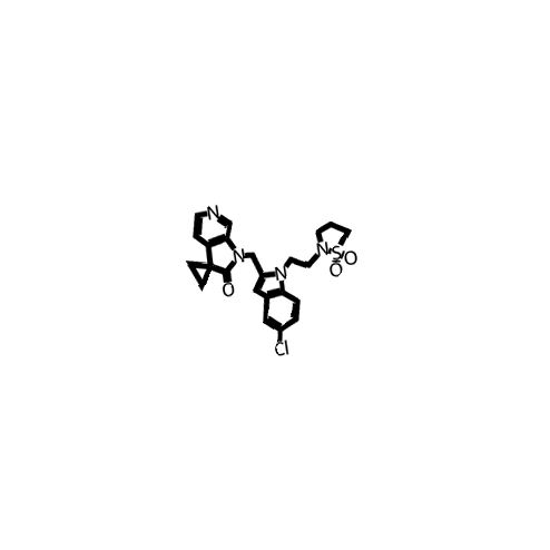 O=C1N(Cc2cc3cc(Cl)ccc3n2CCN2CCCS2(=O)=O)c2cnccc2C12CC2